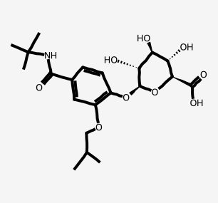 CC(C)COc1cc(C(=O)NC(C)(C)C)ccc1O[C@@H]1O[C@H](C(=O)O)[C@@H](O)[C@H](O)[C@H]1O